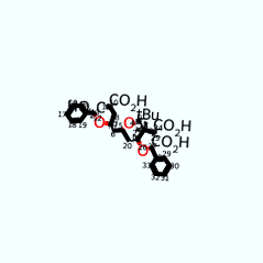 CC(C)(C)[Si](C)(C)OC(C[C@H](CC(C(=O)O)C(=O)O)OCc1ccccc1)C[C@H](CC(C(=O)O)C(=O)O)OCc1ccccc1